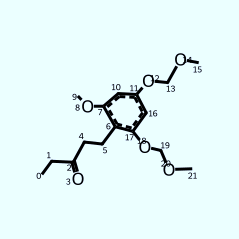 CCC(=O)CCc1c(OC)cc(OCOC)cc1OCOC